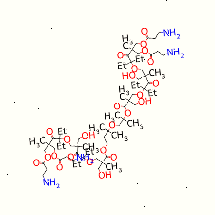 CCC(CC)(OCC(C)(CO)C(=O)C(CC)(CC)OCC(C)(CO)C(=O)OCCC(C)(C)OCC(C)(C)OC(=O)C(C)(CO)COC(CC)(CC)C(=O)C(C)(CO)COC(CC)(CC)C(=O)C(C)(COC(=O)CCN)COC(=O)CCN)C(=O)C(C)(COC(=O)CCN)COC(=O)CCN